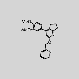 COc1ccc(-c2cc(OCc3ccccn3)nc3c2CCC3)cc1OC